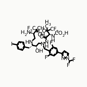 CC(C)([C@H](N)CN[C@@H](Cc1ccc(I)cc1)[C@@H](O)CN(Cc1c(F)cc(-c2ccn(C(F)F)n2)cc1F)NC(=O)[C@@H](NC(=O)O)C(C)(C)C(F)(F)F)C(F)(F)F